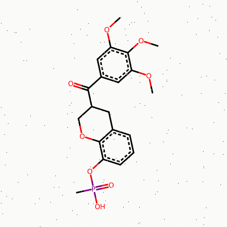 COc1cc(C(=O)C2COc3c(cccc3OP(C)(=O)O)C2)cc(OC)c1OC